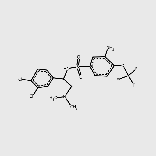 CN(C)CC(NS(=O)(=O)c1ccc(OC(F)(F)F)c(N)c1)c1ccc(Cl)c(Cl)c1